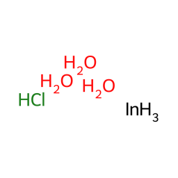 Cl.O.O.O.[InH3]